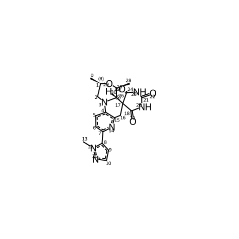 C[C@@H]1CN2c3ccc(-c4ccnn4C)nc3CC3(C(=O)NC(=O)NC3=O)[C@H]2[C@H](C)O1